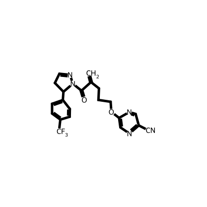 C=C(CCCOc1cnc(C#N)cn1)C(=O)N1N=CCC1c1ccc(C(F)(F)F)cc1